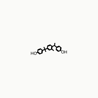 Cc1cc(C(C)(C)c2ccc(O)cc2)ccc1C(C)c1ccc(O)cc1